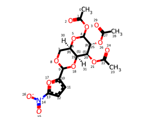 CC(=O)OC1O[C@@H]2COC(c3ccc([N+](=O)[O-])o3)O[C@@H]2[C@H](OC(C)=O)[C@H]1OC(C)=O